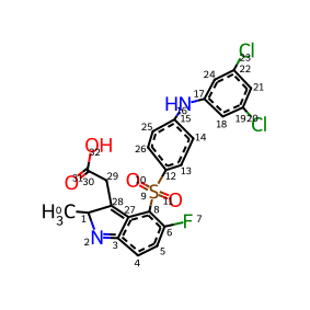 CC1N=c2ccc(F)c(S(=O)(=O)c3ccc(Nc4cc(Cl)cc(Cl)c4)cc3)c2=C1CC(=O)O